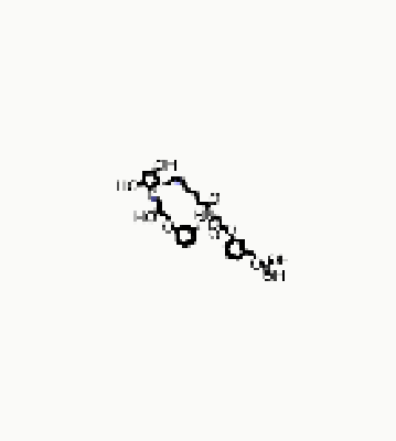 O=C(CCC/C=C\C[C@@H]1[C@@H](/C=C/[C@@H](O)COc2cccc(C(F)(F)F)c2)[C@H](O)C[C@@H]1O)NCC(=O)Oc1cccc(CON(O)O)c1